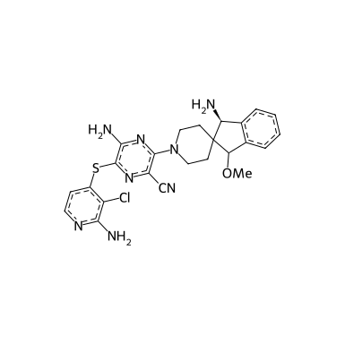 COC1c2ccccc2[C@H](N)C12CCN(c1nc(N)c(Sc3ccnc(N)c3Cl)nc1C#N)CC2